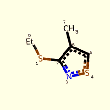 CCSc1nscc1C